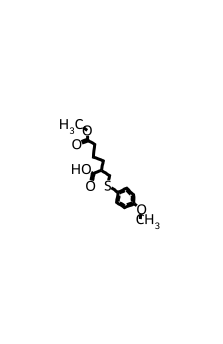 COC(=O)CCCC(CSc1ccc(OC)cc1)C(=O)O